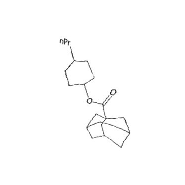 CCCC1CCC(OC(=O)C23CC4CC(CC(C4)C2)C3)CC1